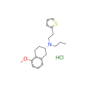 CCCN(CCc1cccs1)[C@H]1CCc2c(cccc2OC)C1.Cl